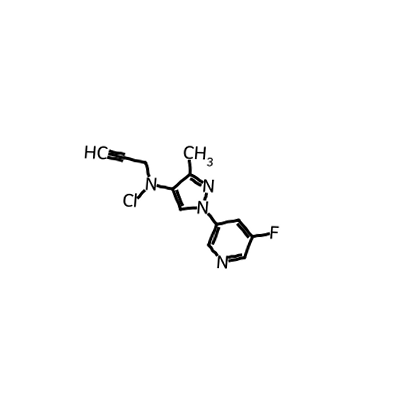 C#CCN(Cl)c1cn(-c2cncc(F)c2)nc1C